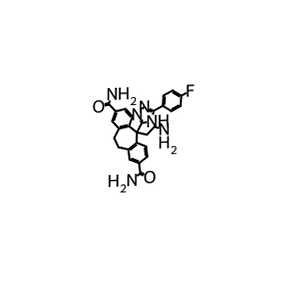 NCCC1(c2nnc(-c3ccc(F)cc3)[nH]2)c2ccc(C(N)=O)cc2CCc2cc(C(N)=O)ccc21